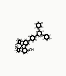 N#Cc1cccc2c1-c1cc(-c3ccc(-c4nc(-c5ccccc5)cc(-c5ccccc5)n4)cc3)ccc1C21c2ccccc2Oc2ccccc21